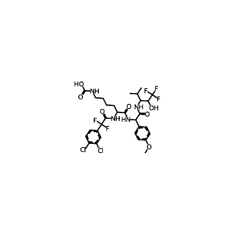 COc1ccc(C(NC(=O)C(CCCCNC(=O)O)NC(=O)C(F)(F)c2ccc(Cl)c(Cl)c2)C(=O)NC(C(C)C)C(O)C(F)(F)F)cc1